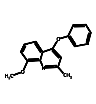 COc1cccc2c(Oc3ccccc3)cc(C)nc12